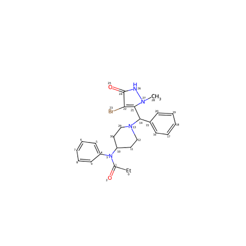 CCC(=O)N(c1ccccc1)C1CCN(C(c2ccccc2)c2c(Br)c(=O)[nH]n2C)CC1